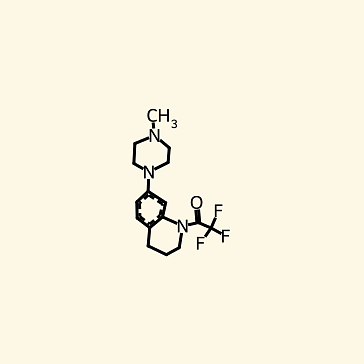 CN1CCN(c2ccc3c(c2)N(C(=O)C(F)(F)F)CCC3)CC1